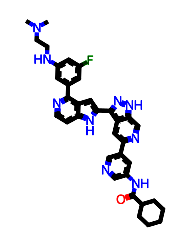 CN(C)CCNc1cc(F)cc(-c2nccc3[nH]c(-c4n[nH]c5cnc(-c6cncc(NC(=O)C7CCCCC7)c6)cc45)cc23)c1